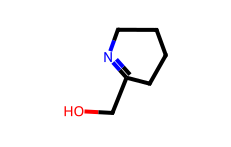 OCC1=NCCCC1